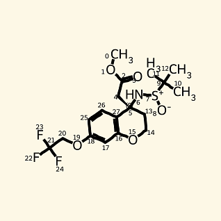 COC(=O)C[C@@]1(N[S+]([O-])C(C)(C)C)CCOc2cc(OCC(F)(F)F)ccc21